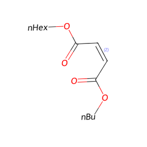 CCCCCCOC(=O)/C=C\C(=O)OCCCC